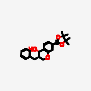 CC1(C)OB(c2ccc3c(c2)OC[C@@H](Cc2ccccc2)[C@@H]3O)OC1(C)C